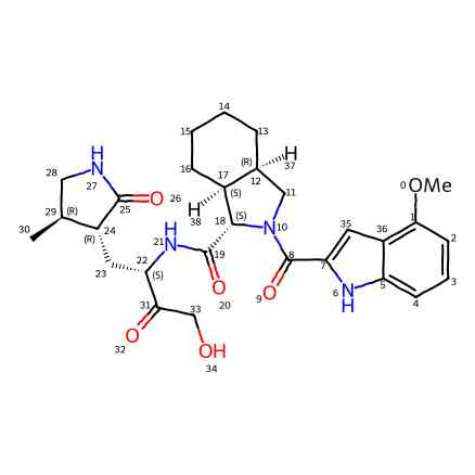 COc1cccc2[nH]c(C(=O)N3C[C@@H]4CCCC[C@@H]4[C@H]3C(=O)N[C@@H](C[C@H]3C(=O)NC[C@@H]3C)C(=O)CO)cc12